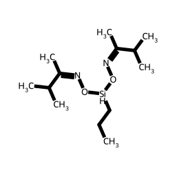 CCC[SiH](ON=C(C)C(C)C)ON=C(C)C(C)C